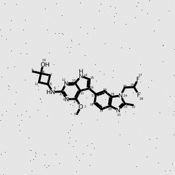 COc1nc(NC2CC(C)(O)C2)nc2[nH]cc(-c3ccc4nc(C)n(CC(F)F)c4c3)c12